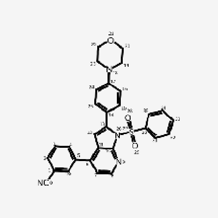 N#Cc1cccc(-c2ccnc3c2cc(-c2ccc(N4CCOCC4)cc2)n3S(=O)(=O)c2ccccc2)c1